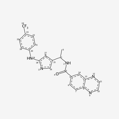 CC(NC(=O)c1ccc2nccnc2c1)c1cnc(Nc2ccc(C(F)(F)F)cc2)s1